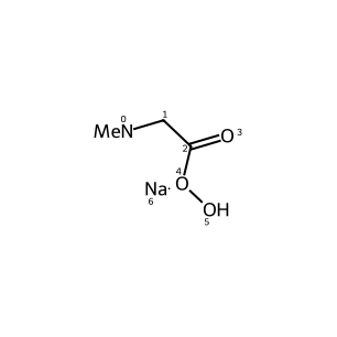 CNCC(=O)OO.[Na]